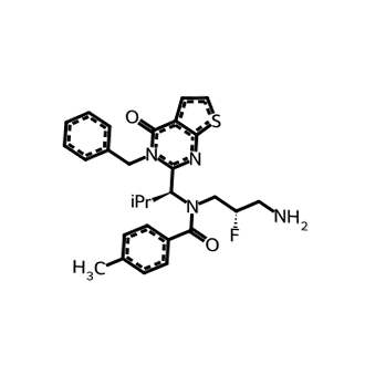 Cc1ccc(C(=O)N(C[C@@H](F)CN)[C@H](c2nc3sccc3c(=O)n2Cc2ccccc2)C(C)C)cc1